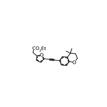 CCOC(=O)Cc1ccc(C#Cc2ccc3c(c2)C(C)(C)CCO3)o1